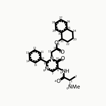 CN[C@@H](C)C(=O)Nc1cnc(-c2ccccc2)n(CC(=O)OC2CCCc3ccccc32)c1=O